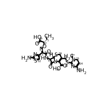 CC[C@H](O/N=C(\C(=O)NC1C(=O)N2C(C(=O)O)=C(CSC3=NC(N)=CCN3C)CS[C@@H]12)c1csc(N)n1)C(=O)O